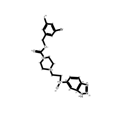 O=C(OCc1cc(Br)cc(I)c1)N1CCN(CC[S+]([O-])c2ccc3nn[nH]c3c2)CC1